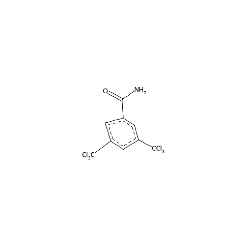 NC(=O)c1cc(C(Cl)(Cl)Cl)cc(C(Cl)(Cl)Cl)c1